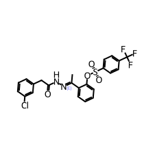 C/C(=N\NC(=O)Cc1cccc(Cl)c1)c1ccccc1OS(=O)(=O)c1ccc(C(F)(F)F)cc1